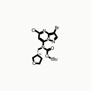 CC(C)(C)OC(=O)N(C[C@@H]1CCOC1)c1cc(Cl)nc2c(Br)cnn12